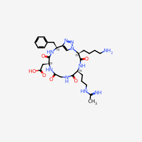 CC(=N)NCCC[C@@H]1NC(=O)[C@H](CCCCN)n2cc(nn2)[C@H](Cc2ccccc2)NC(=O)[C@H](CC(=O)O)NC(=O)CNC1=O